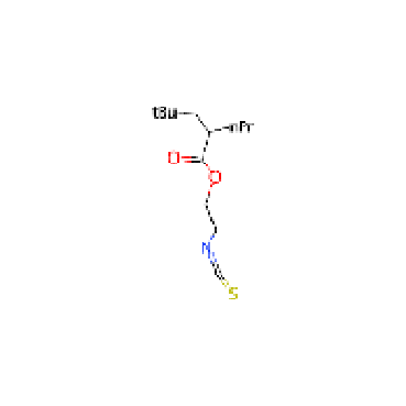 CCCC(CC(C)(C)C)C(=O)OCCN=C=S